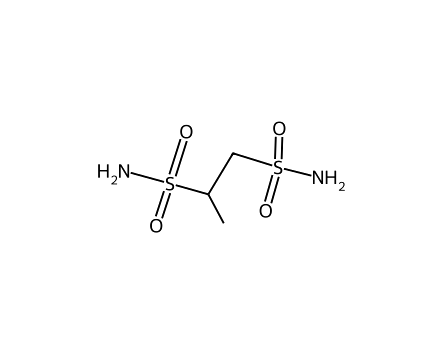 CC(CS(N)(=O)=O)S(N)(=O)=O